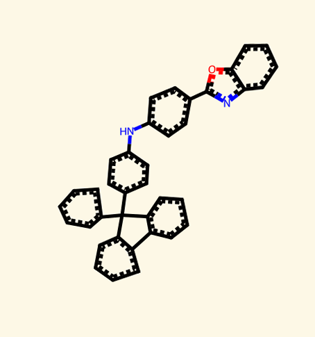 c1ccc(C2(c3ccc(Nc4ccc(-c5nc6ccccc6o5)cc4)cc3)c3ccccc3-c3ccccc32)cc1